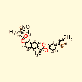 C=C1C=C(c2ccc(OC(=O)[C@@H](C)c3ccc4cc(OC(=O)CC(C)(C)SN=O)ccc4c3)cc2)SS1